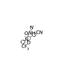 CC1=C(C(=O)NCCN(C)C)C(c2ccc(C#N)cc2)CC(=O)N1c1cccc(C(F)(F)F)c1